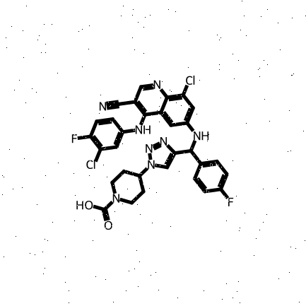 N#Cc1cnc2c(Cl)cc(NC(c3ccc(F)cc3)c3cn(C4CCN(C(=O)O)CC4)nn3)cc2c1Nc1ccc(F)c(Cl)c1